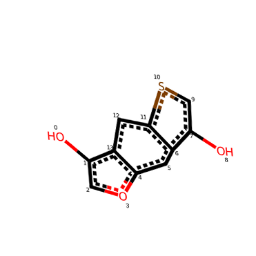 Oc1coc2cc3c(O)csc3cc12